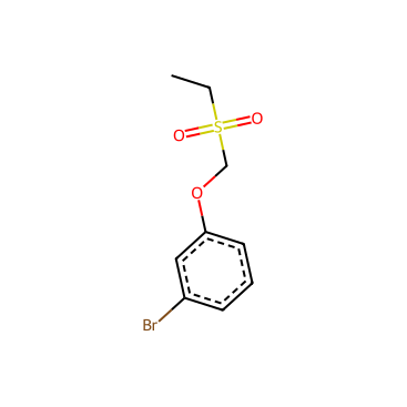 CCS(=O)(=O)COc1cccc(Br)c1